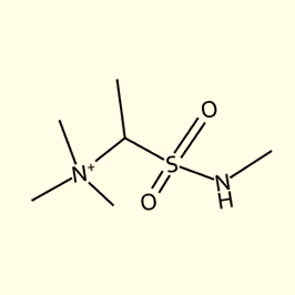 CNS(=O)(=O)C(C)[N+](C)(C)C